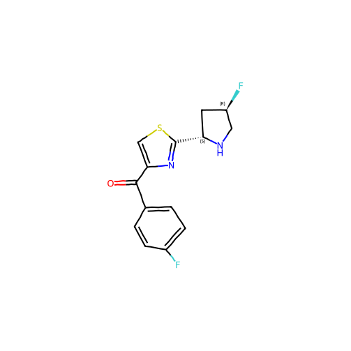 O=C(c1ccc(F)cc1)c1csc([C@@H]2C[C@@H](F)CN2)n1